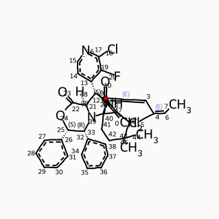 C=C1/C(=C\C(Cl)=C/C)NC(=O)[C@@]12[C@@H](c1ccnc(Cl)c1F)[C@@H]1C(=O)O[C@@H](c3ccccc3)[C@@H](c3ccccc3)N1C21CCC(C)(C)CC1